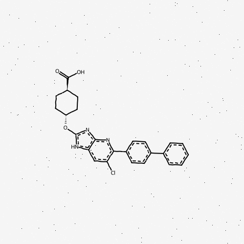 O=C(O)[C@H]1CC[C@H](Oc2nc3nc(-c4ccc(-c5ccccc5)cc4)c(Cl)cc3[nH]2)CC1